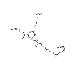 CCCCC/C=C\C/C=C\CCCCCCCC(=O)OC[C@H](COC(=O)CCCCCCCCCCCCC)OC(=O)CCCCCCCCCCCCCCC